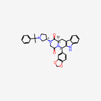 CC(C)(c1ccccc1)N1CC[C@@H](N2CC(=O)N3[C@H](c4ccc5c(c4)OCO5)c4[nH]c5ccccc5c4C[C@@H]3C2=O)C1